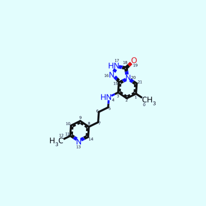 Cc1cc(NCCCc2ccc(C)nc2)c2n[nH]c(=O)n2c1